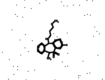 COCCCNC1c2ccccc2N(C)S(=O)(=O)c2cc(I)ccc21